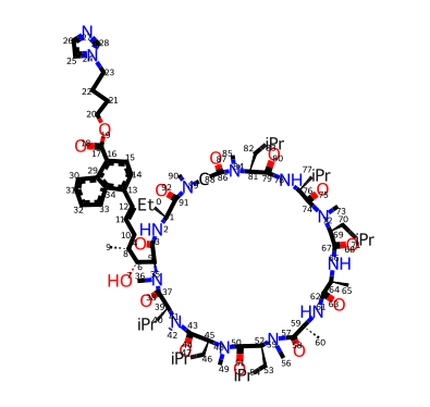 CC[C@@H]1NC(=O)[C@H]([C@H](O)[C@H](C)CC=Cc2ccc(C(=O)OCCCCn3ccnc3)c3ccccc23)N(C)C(=O)[C@H](C(C)C)N(C)C(=O)[C@H](CC(C)C)N(C)C(=O)[C@H](CC(C)C)N(C)C(=O)[C@@H](C)NC(=O)[C@H](C)NC(=O)[C@H](CC(C)C)N(C)C(=O)[C@H](C(C)C)NC(=O)[C@H](CC(C)C)N(C)C(=O)CN(C)C1=O